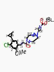 COc1cc(Cl)c(C2CC2)cc1/C=C/C(=O)N1CCN(C2CN(C(=O)OC(C)(C)C)C2)CC1